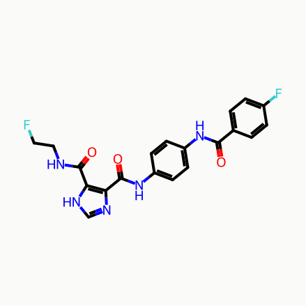 O=C(Nc1ccc(NC(=O)c2nc[nH]c2C(=O)NCCF)cc1)c1ccc(F)cc1